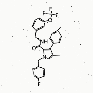 Cc1ccc(-c2c(C)cn(Cc3ccc(F)cc3)c2C(=O)NCc2cccc(OC(F)(F)F)c2)cc1